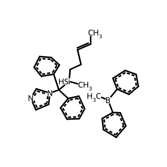 CB(c1ccccc1)c1ccccc1.CC=CCC[SiH](C)C(c1ccccc1)(c1ccccc1)n1ccnc1